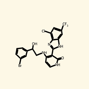 O=c1[nH]ccc(NCC(O)c2cccc(Br)c2)c1-c1nc2c(Cl)cc(C(F)(F)F)cc2[nH]1